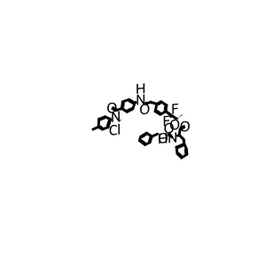 Cc1ccc(N(C)C(=O)c2ccc(NC(=O)Cc3ccc(C(F)(F)[C@H](C)OC(=O)C(Cc4ccccc4)NC(=O)OCc4ccccc4)cc3)cc2)c(Cl)c1